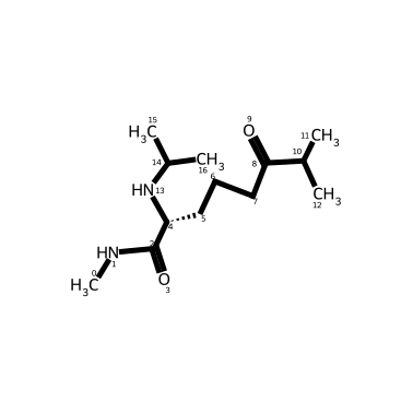 CNC(=O)[C@@H](CCCC(=O)C(C)C)NC(C)C